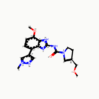 COC[C@@H]1CCN(C(=O)Nc2nc3c(-c4cnn(C)c4)ccc(OC)c3[nH]2)C1